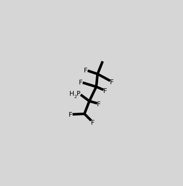 CC(F)(F)C(F)(F)C(F)(P)C(F)F